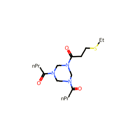 CCCC(=O)N1CN(C(=O)CCC)CN(C(=O)CCSCC)C1